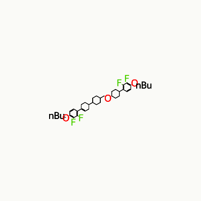 CCCCOc1ccc(C2=CCC(C3CCC(COC4CCC(c5ccc(OCCCC)c(F)c5F)CC4)CC3)CC2)c(F)c1F